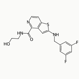 O=C(NCCO)c1nccc2sc(NCc3cc(F)cc(F)c3)cc12